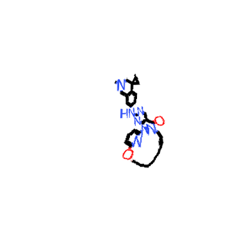 CN1Cc2cc(Nc3ncc4c(=O)n5n(c4n3)-c3cccc(n3)OCCCCC/C=C\C5)ccc2C2(CC2)C1